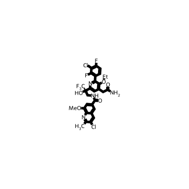 CCOc1c(CC(N)=O)cc([C@@](O)(CNC(=O)c2cc(OC)c3nc(C)c(Cl)cc3c2)C(F)(F)F)nc1-c1ccc(F)c(Cl)c1F